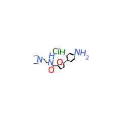 CCN(CC)CCNC(=O)c1ccc(-c2ccc(N)cc2)o1.Cl